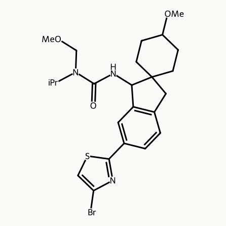 COCN(C(=O)NC1c2cc(-c3nc(Br)cs3)ccc2CC12CCC(OC)CC2)C(C)C